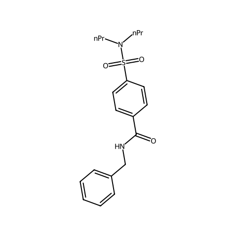 CCCN(CCC)S(=O)(=O)c1ccc(C(=O)NCc2ccccc2)cc1